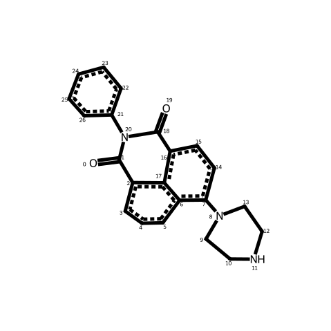 O=C1c2cccc3c(N4CCNCC4)ccc(c23)C(=O)N1c1ccccc1